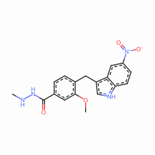 CNNC(=O)c1ccc(Cc2c[nH]c3ccc([N+](=O)[O-])cc23)c(OC)c1